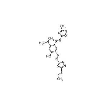 CCSc1nnc(/N=N/c2cc(/N=N/c3nc(C)no3)c(N(C)C)cc2O)s1